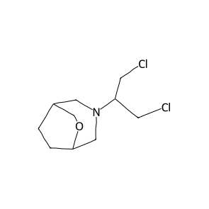 ClCC(CCl)N1CC2CCC(C1)OC2